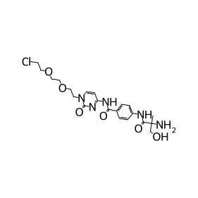 CC(N)(CO)C(=O)Nc1ccc(C(=O)Nc2ccn(CCOCCOCCCl)c(=O)n2)cc1